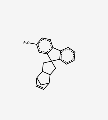 CC(=O)Oc1ccc2c(c1)C1(CC3C4C=CC(C4)C3C1)c1ccccc1-2